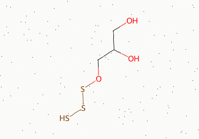 OCC(O)COSSS